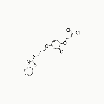 O=C1C=C(OCCCSc2nc3ccccc3s2)C=CC1OCC=C(Cl)Cl